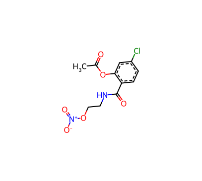 CC(=O)Oc1cc(Cl)ccc1C(=O)NCCO[N+](=O)[O-]